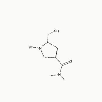 CC(C)N1CC(C(=O)N(C)C)CC1CO